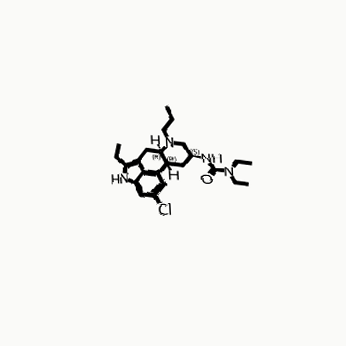 CCCN1C[C@@H](NC(=O)N(CC)CC)C[C@@H]2c3cc(Cl)cc4[nH]c(CC)c(c34)C[C@H]21